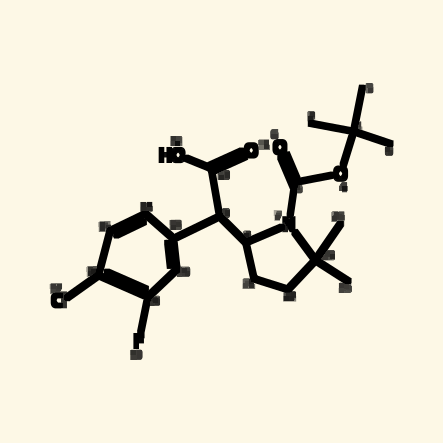 CC(C)(C)OC(=O)N1C(C(C(=O)O)c2ccc(Cl)c(F)c2)CCC1(C)C